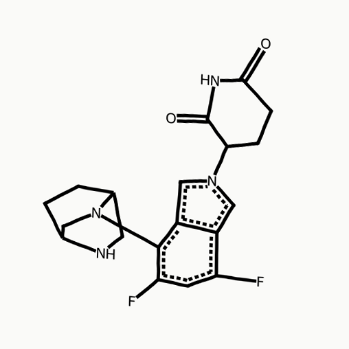 O=C1CCC(n2cc3c(F)cc(F)c(N4CC5CCC4CN5)c3c2)C(=O)N1